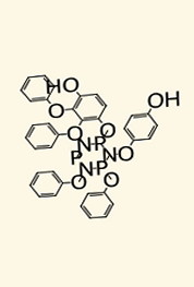 Oc1ccc(On2p(Oc3ccc(O)c(Oc4ccccc4)c3Oc3ccccc3)npn(Oc3ccccc3)p2Oc2ccccc2)cc1